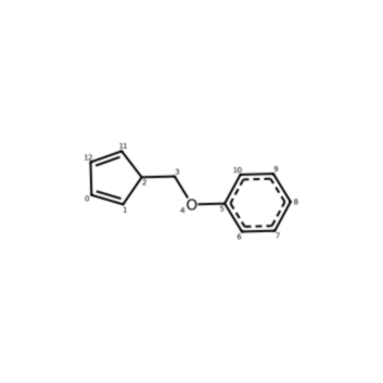 C1=CC(COc2ccccc2)C=C1